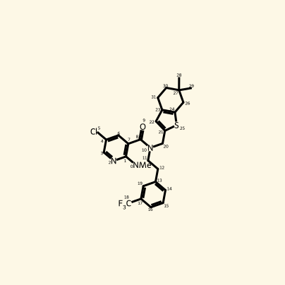 CNc1ncc(Cl)cc1C(=O)N(CCc1cccc(C(F)(F)F)c1)Cc1cc2c(s1)CC(C)(C)CC2